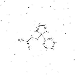 NC(=O)NSC1(c2ccccc2)N=CC=N1